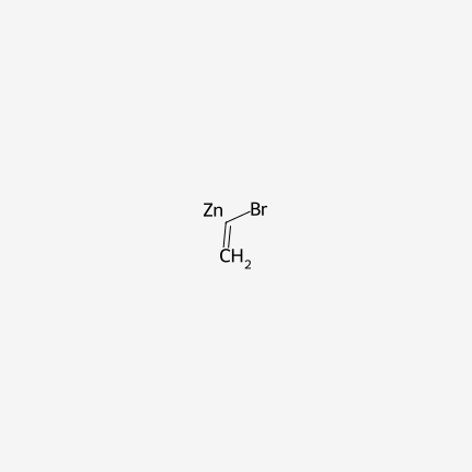 C=CBr.[Zn]